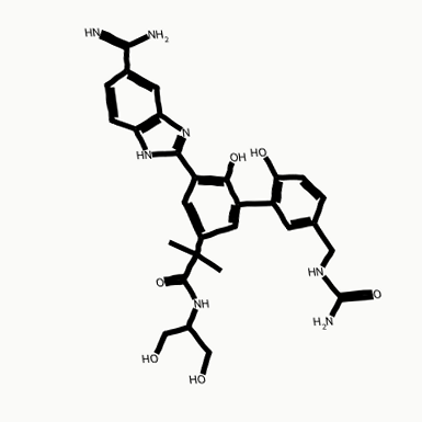 CC(C)(C(=O)NC(CO)CO)c1cc(-c2nc3cc(C(=N)N)ccc3[nH]2)c(O)c(-c2cc(CNC(N)=O)ccc2O)c1